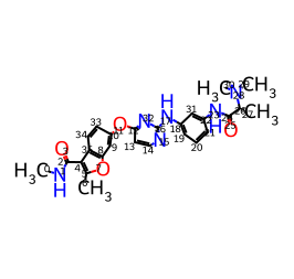 CNC(=O)c1c(C)oc2cc(Oc3ccnc(Nc4cccc(NC(=O)[C@H](C)N(C)C)c4)n3)ccc12